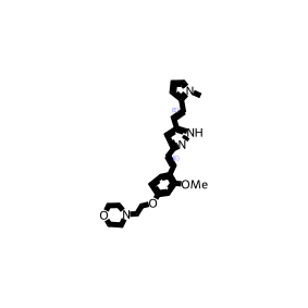 COc1cc(OCCN2CCOCC2)ccc1/C=C/c1cc(/C=C/c2cccn2C)[nH]n1